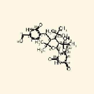 CC(C)(C)C(Cc1ccc(C=O)[nH]c1=O)C(C(Cn1c(F)cc(=O)[nH]c1=O)C(C)(C)C)C(C)(C)C